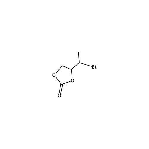 CCC(C)C1COC(=O)O1